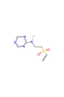 C=CS(=O)(=O)CCN(F)c1ncncn1